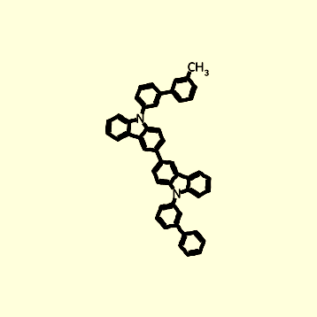 Cc1cccc(-c2cccc(-n3c4ccccc4c4cc(-c5ccc6c(c5)c5ccccc5n6-c5cccc(-c6ccccc6)c5)ccc43)c2)c1